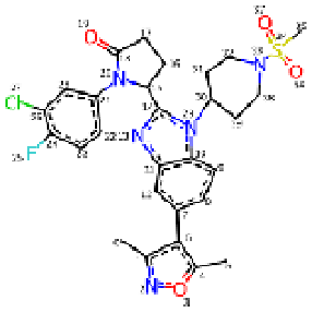 Cc1noc(C)c1-c1ccc2c(c1)nc(C1CCC(=O)N1c1ccc(F)c(Cl)c1)n2C1CCN(S(C)(=O)=O)CC1